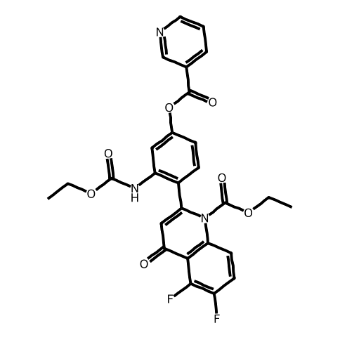 CCOC(=O)Nc1cc(OC(=O)c2cccnc2)ccc1-c1cc(=O)c2c(F)c(F)ccc2n1C(=O)OCC